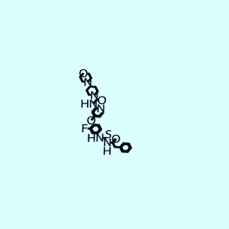 O=C(Cc1ccccc1)NC(=S)Nc1ccc(Oc2ccnc(NC(=O)N3CCC(N4CCOCC4)CC3)c2)c(F)c1